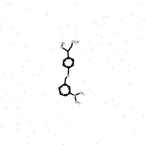 CCOC(CC(=O)O)c1ccc(OCc2cccc(N(C)C)c2)cc1